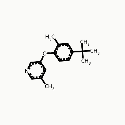 Cc1cncc(Oc2ccc(C(C)(C)C)cc2C)c1